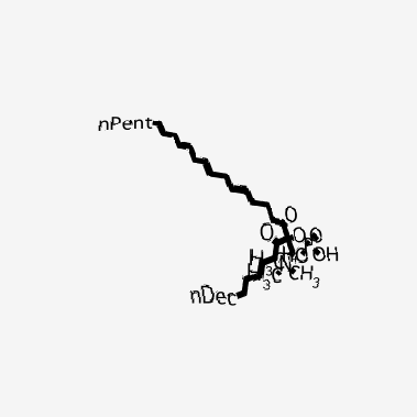 CCCCCC=CCC=CCC=CCC=CCCCC(=O)C(C[N+](C)(C)C)(OP(=O)(O)O)C(=O)CCCCCCCCCCCCCCC